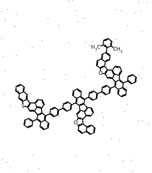 Cc1cccc(C)c1-c1ccc2c(ccc3oc4cc5c6c(cccc6c4c32)-c2c-5c(-c3ccc(-c4ccc(-c5c6c(c(-c7ccc(-c8ccc(-c9c%10c(c(-c%11ccccc%11)c%11ccccc9%11)-c9cc%11sc%12cc%13ccccc%13cc%12c%11c%11cccc-%10c9%11)cc8)cc7)c7ccccc57)-c5cc7oc8ccc9ccccc9c8c7c7cccc-6c57)cc4)cc3)c3ccccc3c2-c2ccccc2)c1